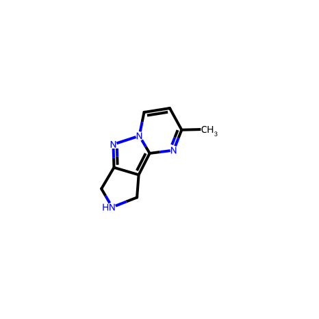 Cc1ccn2nc3c(c2n1)CNC3